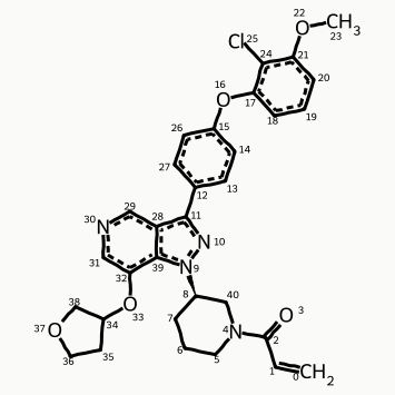 C=CC(=O)N1CCC[C@@H](n2nc(-c3ccc(Oc4cccc(OC)c4Cl)cc3)c3cncc(OC4CCOC4)c32)C1